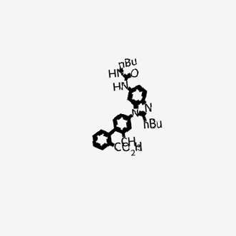 CCCCNC(=O)Nc1ccc2nc(CCCC)n(-c3ccc(-c4ccccc4C(=O)O)c(C)c3)c2c1